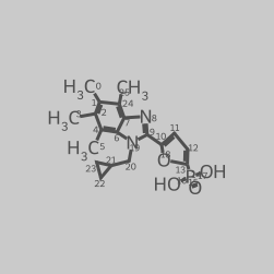 Cc1c(C)c(C)c2c(nc(-c3ccc(P(=O)(O)O)o3)n2CC2CC2)c1C